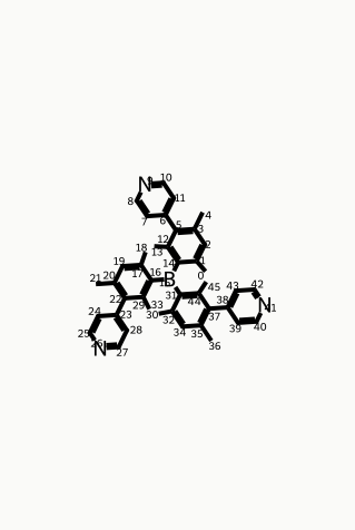 Cc1cc(C)c(-c2ccncc2)c(C)c1B(c1c(C)cc(C)c(-c2ccncc2)c1C)c1c(C)cc(C)c(-c2ccncc2)c1C